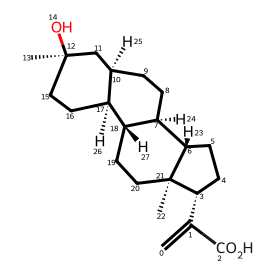 C=C(C(=O)O)[C@H]1CC[C@H]2[C@@H]3CC[C@@H]4C[C@](C)(O)CC[C@@H]4[C@H]3CC[C@]12C